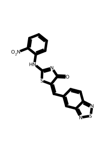 O=C1N=C(Nc2ccccc2[N+](=O)[O-])SC1=Cc1ccc2nsnc2c1